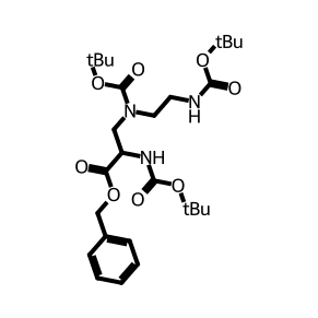 CC(C)(C)OC(=O)NCCN(CC(NC(=O)OC(C)(C)C)C(=O)OCc1ccccc1)C(=O)OC(C)(C)C